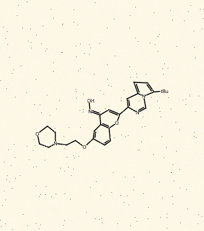 CC(C)(C)c1ccc2cc(-c3c/c(=N\O)c4cc(OCCN5CCOCC5)ccc4o3)ncn12